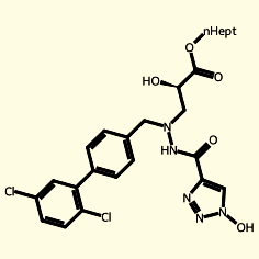 CCCCCCCOC(=O)[C@H](O)CN(Cc1ccc(-c2cc(Cl)ccc2Cl)cc1)NC(=O)c1cn(O)nn1